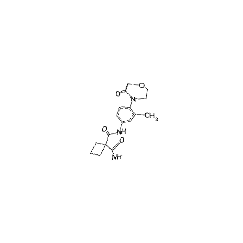 Cc1cc(NC(=O)C2(C([NH])=O)CCC2)ccc1N1CCOCC1=O